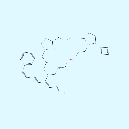 C=C/C=C(/C=C/C=C\c1ccccc1)C(C/C=C(\C)OCCCN1C(C)CCC1C1=CC=C1)CC(F)CC1CCC(CNC)N1